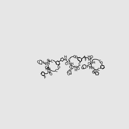 O=C1CCc2cc(cc(C3CCC(NC(=O)[C@@H]4CCCCOc5cc(cc(C6CC6(F)CNC(=O)[C@@H]6CCCCOc7cccc(c7)C[C@H](N7CCCC7=O)C(=O)N[C@@H](CCN7CCOCC7)C(=O)N6)c5)CCC(=O)N[C@@H](CCN5CCOCC5)C(=O)N4)C3)c2)OCCCC[C@@H](C(=O)NCc2ccccc2F)NC(=O)[C@H](CCN2CCOCC2)N1